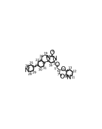 O=c1nc(OCC2COc3ncccc3O2)cc2n1CCc1cc(-c3ccncc3)ccc1-2